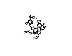 N#Cc1cc(-c2ccnc3cc(Cn4ncc(C5(C(F)(F)F)CC5)cc4=O)sc23)c2c(c1)[C@@H]1C[C@@H]1CN2[C@@H]1CN[C@@H](CO)C1.O=CO